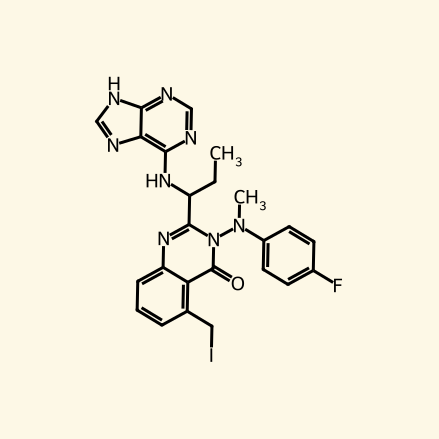 CCC(Nc1ncnc2[nH]cnc12)c1nc2cccc(CI)c2c(=O)n1N(C)c1ccc(F)cc1